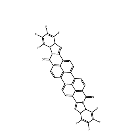 O=c1c2ccc3c4ccc5c6n(c(=O)c7ccc(c8ccc(c9n1C1C(F)=C(F)C(F)=C(F)C1N=9)c2c38)c4c75)C1C(F)=C(F)C(F)=C(F)C1N=6